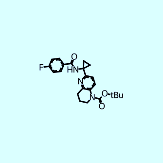 CC(C)(C)OC(=O)N1CCCc2nc(C3(NC(=O)c4ccc(F)cc4)CC3)ccc21